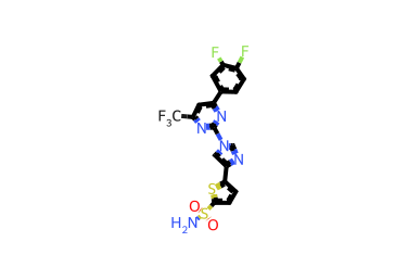 NS(=O)(=O)c1ccc(-c2cn(-c3nc(-c4ccc(F)c(F)c4)cc(C(F)(F)F)n3)cn2)s1